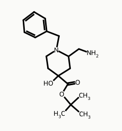 CC(C)(C)OC(=O)C1(O)CCN(Cc2ccccc2)C(CN)C1